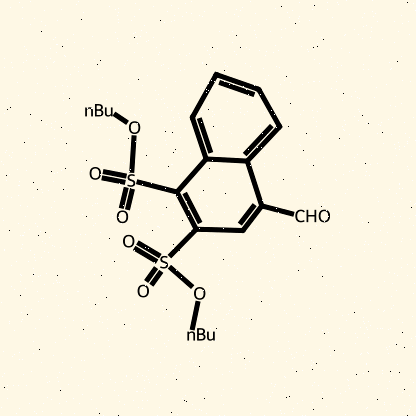 CCCCOS(=O)(=O)c1cc(C=O)c2ccccc2c1S(=O)(=O)OCCCC